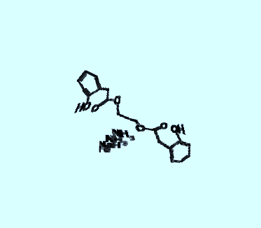 N.N.O=C(Cc1ccccc1O)OCCOC(=O)Cc1ccccc1O.[Fe].[NaH]